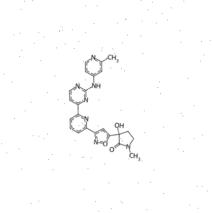 Cc1cc(Nc2nccc(-c3cccc(-c4cc(C5(O)CCN(C)C5=O)on4)n3)n2)ccn1